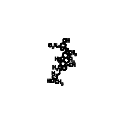 C#C[C@@]12CCC(CCCCC(C)(C)O)[C@@]1(C)CC(=O)[C@@]1(C)C3CC[C@H](O[C@H]4C[C@@H](O)C[C@@H](C[N+](=O)[O-])O4)C(C)(C)C3=CCC12